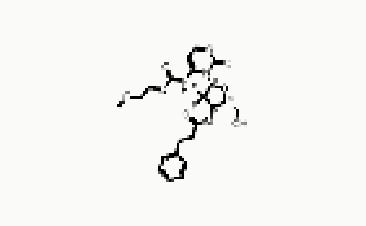 COCCOC(=O)Nc1ccnc(=O)n1[C@@H]1O[C@H](CO)[C@@H](OC(=O)CCc2ccccc2)C1(F)F